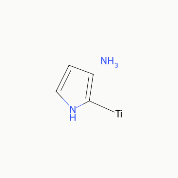 N.[Ti][c]1ccc[nH]1